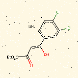 CCOC(=O)C(=O)C=C(O)c1ccc(Cl)c(Cl)c1.[LiH]